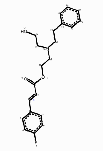 O=C(/C=C/c1ccc(F)cc1)OCCN(CCO)CCc1ccccc1